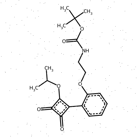 CC(C)Oc1c(-c2ccccc2OCCNC(=O)OC(C)(C)C)c(=O)c1=O